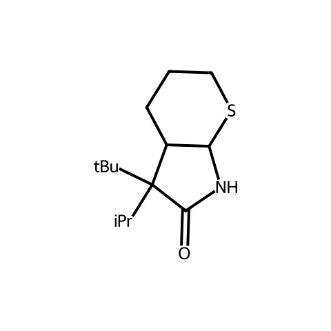 CC(C)C1(C(C)(C)C)C(=O)NC2SCCCC21